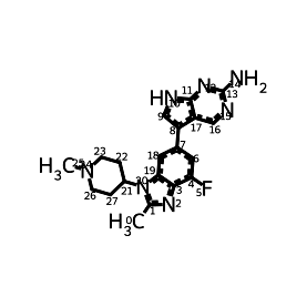 Cc1nc2c(F)cc(-c3c[nH]c4nc(N)ncc34)cc2n1C1CCN(C)CC1